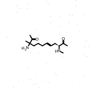 CN[C@@H](C/C=C/CCCC(C)(N)C(C)=O)C(C)=O